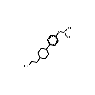 CCCC1CCC(c2ccc(OB(O)O)cc2)CC1